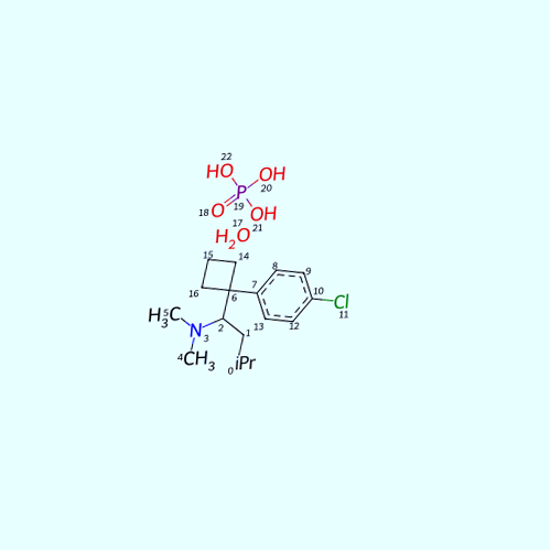 CC(C)CC(N(C)C)C1(c2ccc(Cl)cc2)CCC1.O.O=P(O)(O)O